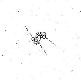 CCCCCCCCCCCCOC(=O)c1sc2c(C)sc(-c3cc4c(OCCCCCCCCCCCC)c5sc(C)cc5c(OCCCCCCCCCCCC)c4s3)c2c1F